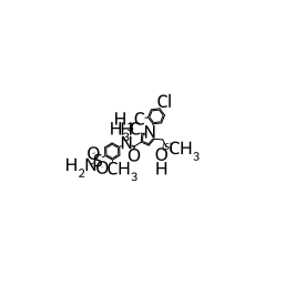 Cc1cc(Cl)ccc1-n1c(C[C@H](C)O)cc(C(=O)Nc2ccc(S(N)(=O)=O)c(C)c2)c1C